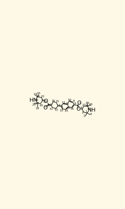 CC1(C)CC(OC(=O)c2ccc3cc(C4CCC(C(=O)OC5CC(C)(C)NC(C)(C)C5)CC4)ccc3c2)CC(C)(C)N1